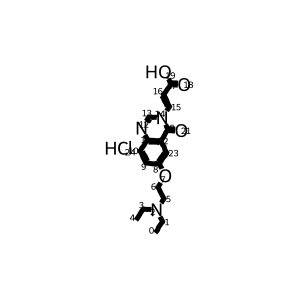 CCN(CC)CCOc1ccc2ncn(C=CC(=O)O)c(=O)c2c1.Cl